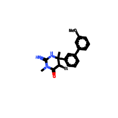 CCC1C(=O)N(C)C(=N)NC1(C)c1cccc(-c2cccc(OC)c2)c1